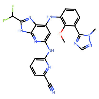 COc1c(Nc2cc(Nc3cccc(C#N)n3)nc3[nH]c(C(F)F)nc23)cccc1-c1ncnn1C